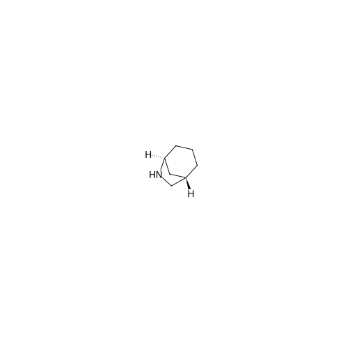 C1C[C@@H]2CN[C@@H](C1)C2